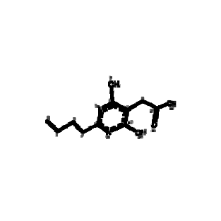 CCCCc1nc(O)c(CC(=O)O)c(O)n1